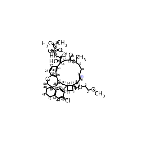 COCCO[C@H]1/C=C/CCN(C)C(=O)C[C@](O)(C(=O)NS(=O)(=O)N(C)C)c2ccc3c(c2)N(C[C@@H]2CC[C@H]21)C[C@@]1(CCCc2cc(Cl)ccc21)CO3